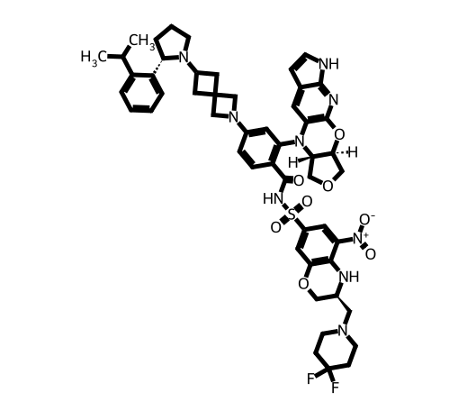 CC(C)c1ccccc1[C@@H]1CCCN1C1CC2(C1)CN(c1ccc(C(=O)NS(=O)(=O)c3cc4c(c([N+](=O)[O-])c3)N[C@@H](CN3CCC(F)(F)CC3)CO4)c(N3c4cc5cc[nH]c5nc4O[C@H]4COC[C@@H]43)c1)C2